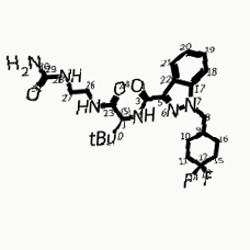 CC(C)(C)[C@H](NC(=O)c1nn(CC2CCC(F)(F)CC2)c2ccccc12)C(=O)NCCNC(N)=O